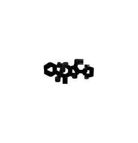 CC(=O)Oc1c(NS(=O)(=O)c2ccccc2)oc(-c2nccs2)c1O